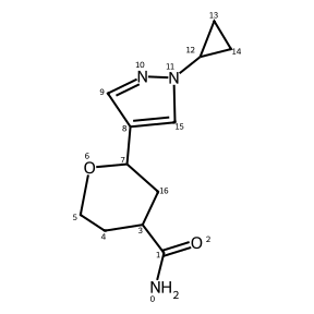 NC(=O)C1CCOC(c2cnn(C3CC3)c2)C1